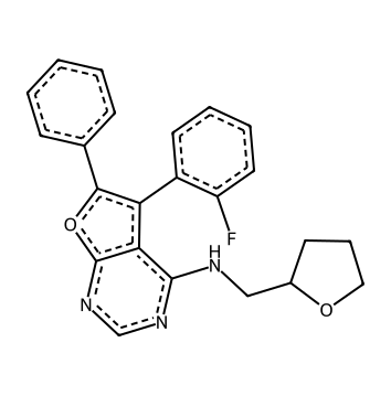 Fc1ccccc1-c1c(-c2ccccc2)oc2ncnc(NCC3CCCO3)c12